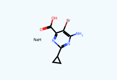 Nc1nc(C2CC2)nc(C(=O)O)c1Br.[NaH]